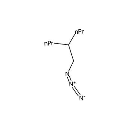 CCCC(CCC)CN=[N+]=[N-]